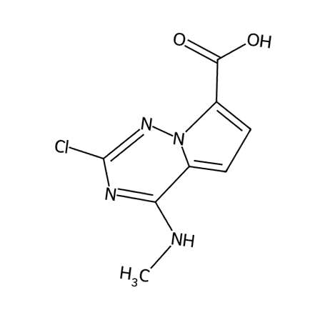 CNc1nc(Cl)nn2c(C(=O)O)ccc12